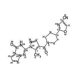 Cc1c(C(=O)N2CCC(c3nc(C#N)co3)CC2)cnn1-c1nn2cccc2c(=O)[nH]1